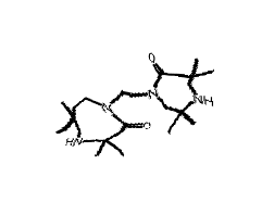 CC1(C)CN(CN2CC(C)(C)NC(C)(C)C2=O)C(=O)C(C)(C)N1